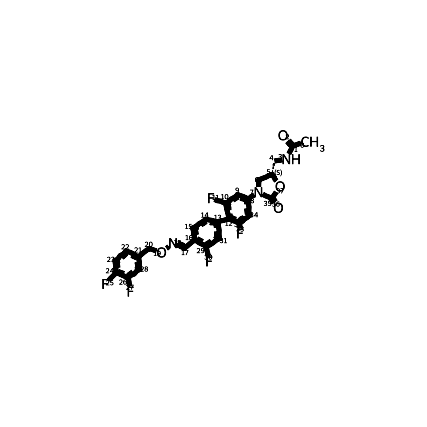 CC(=O)NC[C@H]1CN(c2cc(F)c(-c3ccc(C=NOCc4ccc(F)c(F)c4)c(F)c3)c(F)c2)C(=O)O1